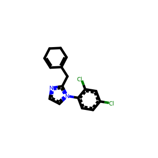 Clc1ccc(-n2ccnc2CC2=CCCC=C2)c(Cl)c1